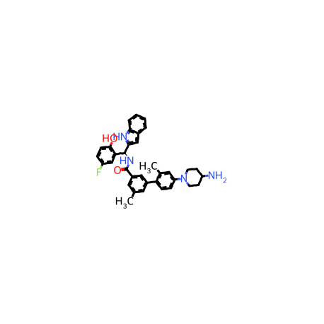 Cc1cc(C(=O)N[C@@H](c2cc3ccccc3[nH]2)c2cc(F)ccc2O)cc(-c2ccc(N3CCC(N)CC3)cc2C)c1